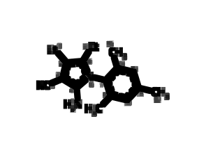 CCc1c(C#N)c(N)n(-c2c(C)cc(C)cc2C)c1CC